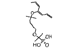 C=C/C=C(\C=C/C)OC(C)(C)CCOC(C)(C)P(=O)(O)O